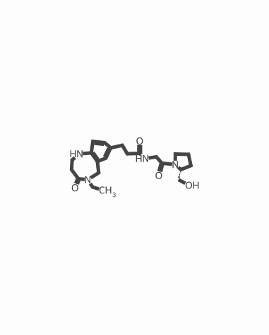 CCN1Cc2cc(CCC(=O)NCC(=O)N3CCC[C@@H]3CO)ccc2NCCC1=O